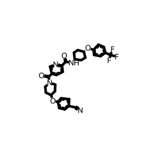 N#Cc1ccc(OC2CCN(C(=O)c3ccc(C(=O)N[C@H]4CC[C@@H](Oc5ccc(C(F)(F)F)cc5)CC4)nc3)CC2)cc1